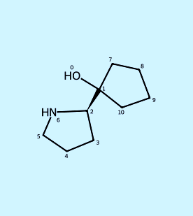 OC1([C@H]2CCCN2)CCCC1